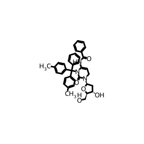 Cc1ccc(C(c2ccccc2)(c2ccc(C)cc2)N2C(=O)N([C@H]3C[C@H](O)[C@@H](CO)O3)CC=C2NC(=O)c2ccccc2)cc1